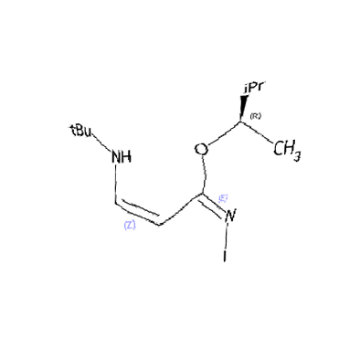 CC(C)[C@@H](C)OC(/C=C\NC(C)(C)C)=N/I